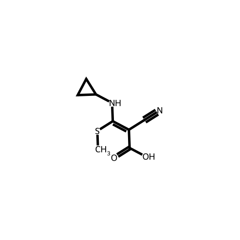 CS/C(NC1CC1)=C(/C#N)C(=O)O